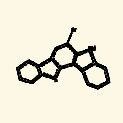 Brc1cc2c3ccccc3sc2c2c1[nH]c1ccccc12